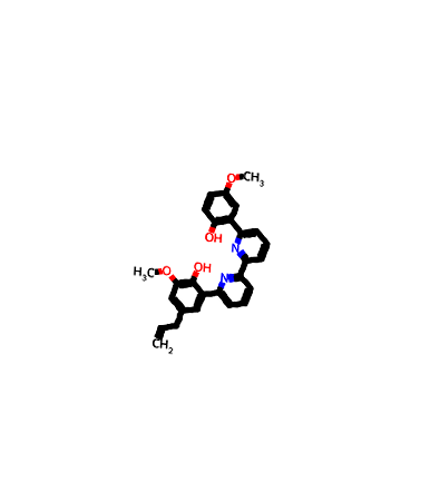 C=CCc1cc(OC)c(O)c(-c2cccc(-c3cccc(-c4cc(OC)ccc4O)n3)n2)c1